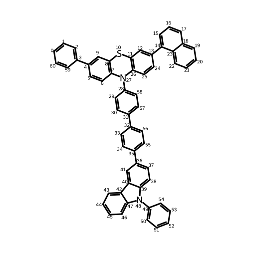 c1ccc(-c2ccc3c(c2)Sc2cc(-c4cccc5ccccc45)ccc2N3c2ccc(-c3ccc(-c4ccc5c(c4)c4ccccc4n5-c4ccccc4)cc3)cc2)cc1